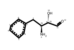 N[C@@H](Cc1ccccc1)[C@H](O)[C]=O